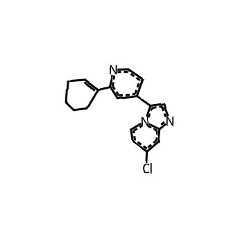 Clc1ccn2c(-c3ccnc(C4=CCCCC4)c3)cnc2c1